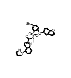 CC(C)(C)c1ccc(Oc2ccc3occc3c2)c(S(=O)(=O)NC(=O)c2ccc3c(-n4cccn4)cccc3n2)c1